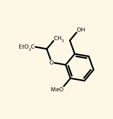 CCOC(=O)C(C)Oc1c(CO)cccc1OC